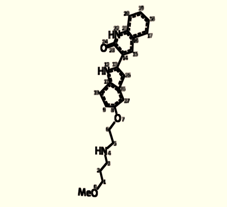 COCCCNCCOc1ccc2[nH]c(-c3cc4ccccc4[nH]c3=O)cc2c1